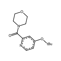 CC(C)(C)Oc1ccnc(C(=O)N2CCOCC2)c1